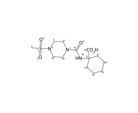 CS(=O)(=O)N1CCN(C(=O)NC2(C(=O)O)CCCCC2)CC1